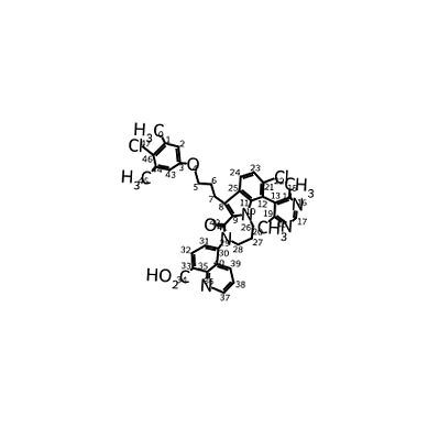 Cc1cc(OCCCc2c3n(c4c(-c5c(C)ncnc5C)c(Cl)ccc24)CCCN(c2ccc(C(=O)O)c4ncccc24)C3=O)cc(C)c1Cl